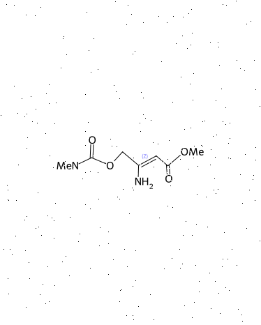 CNC(=O)OC/C(N)=C/C(=O)OC